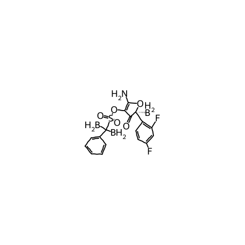 BC(B)(c1ccccc1)S(=O)(=O)OC1=C(N)O[C@@](B)(c2ccc(F)cc2F)C1=O